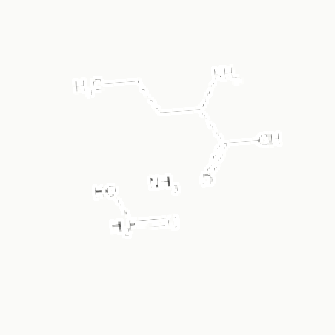 CCCC(N)C(=O)O.N.O=[PH2]O